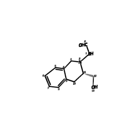 O=CBN1Cc2ccccc2C[C@H]1CO